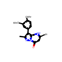 COc1ccc(-c2c(C)nn3c(=O)cc(C(C)C)[nH]c23)cc1OC